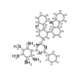 Bc1c(B)c(B)c(-c2nc(-c3ccccc3)nc(-c3ccc4c(c3)sc3cccc(-n5c6ccccc6c6ccccc65)c34)n2)c(B)c1B